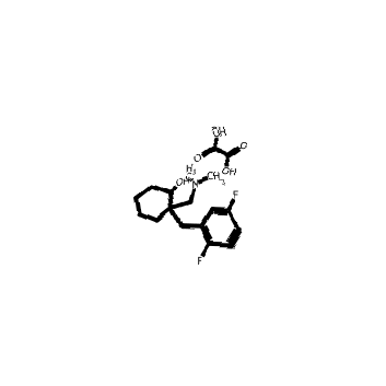 CN(C)CC1(Cc2cc(F)ccc2F)CCCCC1O.O=C(O)C(=O)O